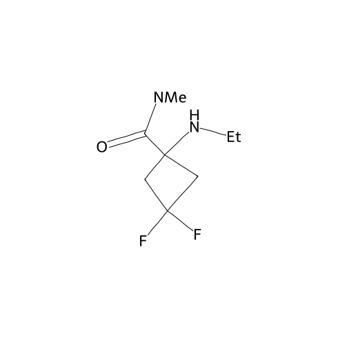 CCNC1(C(=O)NC)CC(F)(F)C1